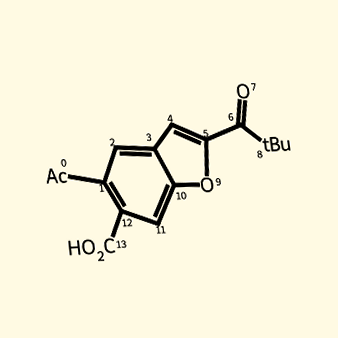 CC(=O)c1cc2cc(C(=O)C(C)(C)C)oc2cc1C(=O)O